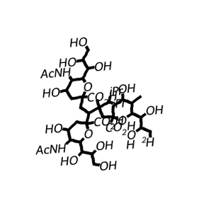 [2H]CC(O)C(O)C1OC(CC(C)(C(C(C)C)C(C)C)C(CC2(C(=O)O)CC(O)C(NC(C)=O)C(C(O)C(O)CO)O2)C2(C(=O)O)CC(O)C(NC(C)=O)C(C(O)C(O)CO)O2)(C(=O)O)CC(O)C1C